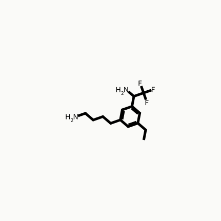 CCc1cc(CCCCN)cc(C(N)C(F)(F)F)c1